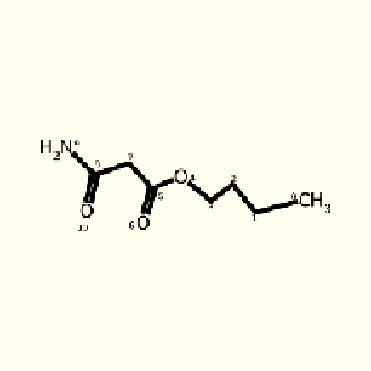 CCCCOC(=O)CC(N)=O